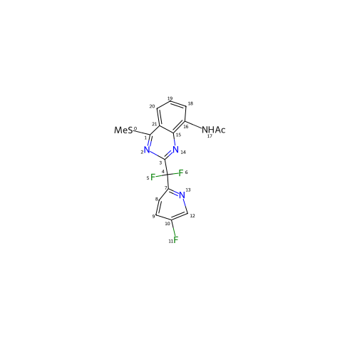 CSc1nc(C(F)(F)c2ccc(F)cn2)nc2c(NC(C)=O)cccc12